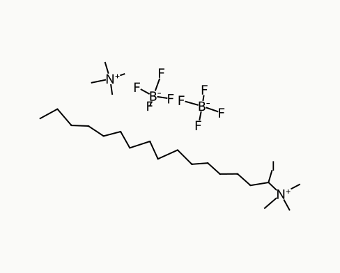 CCCCCCCCCCCCCCCC(I)[N+](C)(C)C.C[N+](C)(C)C.F[B-](F)(F)F.F[B-](F)(F)F